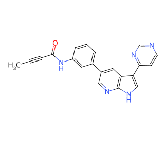 CC#CC(=O)Nc1cccc(-c2cnc3[nH]cc(-c4ccncn4)c3c2)c1